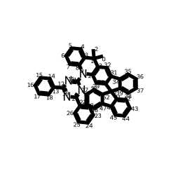 CC1(C)c2ccccc2N(c2nc(-c3ccccc3)nc(-c3ccccc3)n2)c2cc3c(cc21)-c1ccccc1C31c2ccccc2-c2ccccc21